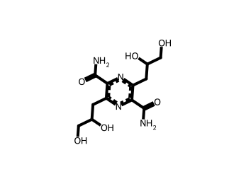 NC(=O)c1nc(CC(O)CO)c(C(N)=O)nc1CC(O)CO